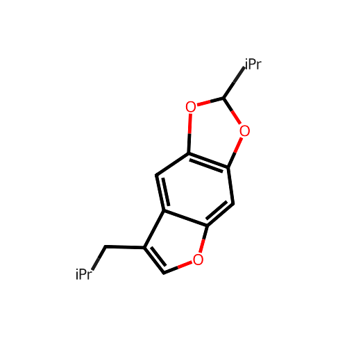 CC(C)Cc1coc2cc3c(cc12)OC(C(C)C)O3